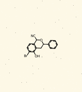 N#CC1OC(c2ccccc2)Cc2c1ccc(Br)c2O